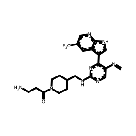 C=Nc1cnc(NCC2CCN(C(=O)CCN)CC2)nc1-c1c[nH]c2ncc(C(F)(F)F)cc12